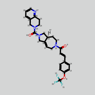 O=C(/C=C/c1ccc(OC(F)(F)F)cc1)N1CC=C2CN(C(=O)N3CCc4ncccc4C3)C[C@H]2CC1